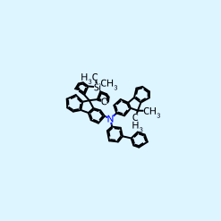 CC1(C)c2ccccc2-c2ccc(N(c3cccc(-c4ccccc4)c3)c3ccc4c(c3)C3(c5ccccc5-4)c4ccccc4[Si](C)(C)c4ccccc43)cc21